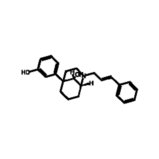 Oc1cccc(C23CCC[C@H]([C@H]2O)N(C/C=C/c2ccccc2)CC3)c1